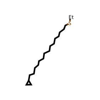 CCSCCCCCCCCCCCCCCCC1CC1